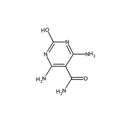 NC(=O)c1c(N)nc(O)nc1N